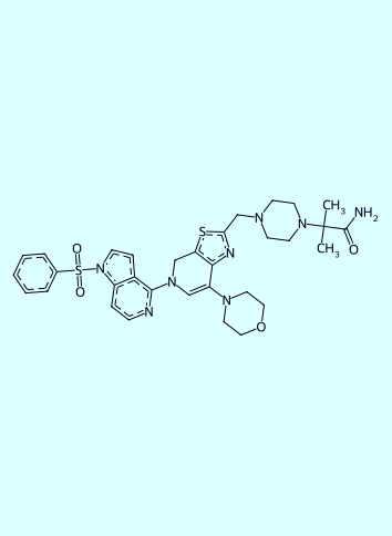 CC(C)(C(N)=O)N1CCN(Cc2nc3c(s2)CN(c2nccc4c2ccn4S(=O)(=O)c2ccccc2)C=C3N2CCOCC2)CC1